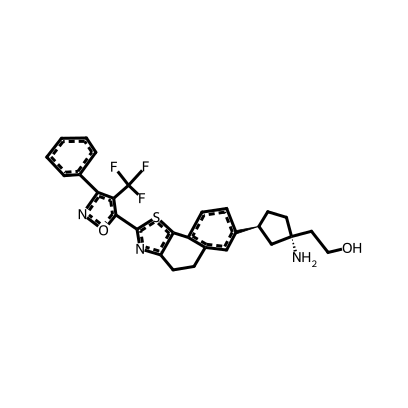 N[C@@]1(CCO)CC[C@H](c2ccc3c(c2)CCc2nc(-c4onc(-c5ccccc5)c4C(F)(F)F)sc2-3)C1